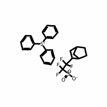 O=S(=O)([O-])C(F)(F)C(F)(F)C1CC2CCC1C2.c1ccc([S+](c2ccccc2)c2ccccc2)cc1